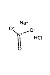 Cl.O=[N+]([O-])[O-].[Na+]